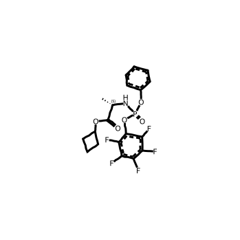 C[C@H](NP(=O)(Oc1ccccc1)Oc1c(F)c(F)c(F)c(F)c1F)C(=O)OC1CCC1